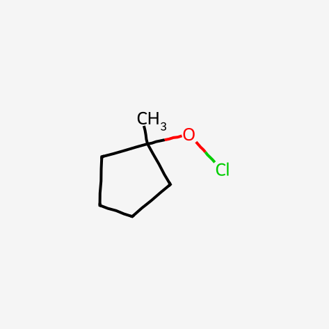 CC1(OCl)CCCC1